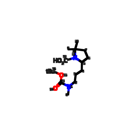 CN(CCCC1CCC(C)(C)N1C(=O)O)C(=O)OC(C)(C)C